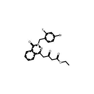 CCOC(=O)CC(=O)Cc1nn(Cc2ccc(Br)cc2F)c(=O)c2ccccc12